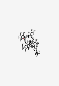 CCOC(=O)c1ccc(Nc2c(F)c(F)c(F)c3c4nc5nc(nc6c7c(F)c(F)c(F)c(F)c7c(nc7nc(nc([nH]4)c23)-c2c(F)c(F)c(F)c(F)c2-7)n6F)-c2c-5cc(F)c(F)c2F)cc1